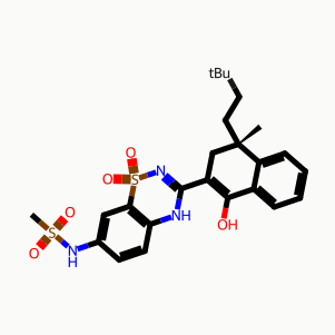 CC(C)(C)CC[C@@]1(C)CC(C2=NS(=O)(=O)c3cc(NS(C)(=O)=O)ccc3N2)=C(O)c2ccccc21